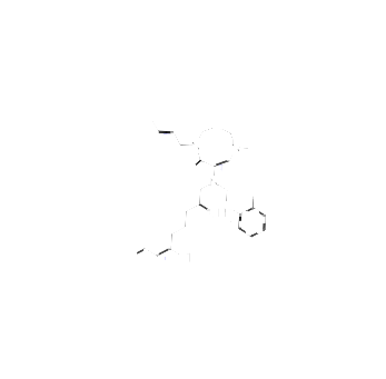 C=C/C=C(/Cl)CCCC(=C)CN(COc1ccccc1C)/C1=C/N(C)COCN(C/C=C/O)C1=O